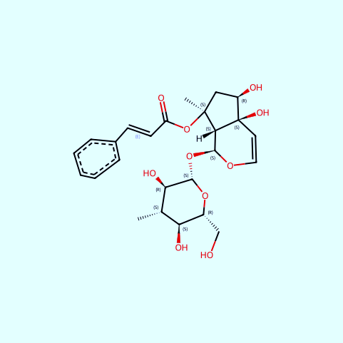 C[C@@H]1[C@@H](O)[C@H](O[C@@H]2OC=C[C@@]3(O)[C@H](O)C[C@](C)(OC(=O)/C=C/c4ccccc4)[C@@H]23)O[C@H](CO)[C@H]1O